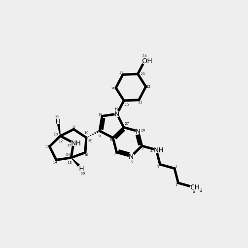 CCCCNc1ncc2c([C@H]3C[C@H]4CC[C@@H](C3)N4)cn(C3CCC(O)CC3)c2n1